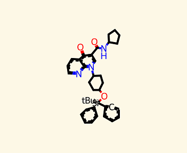 CC(C)(C)[Si](OC1CCC(n2cc(C(=O)NC3CCCC3)c(=O)c3cccnc32)CC1)(c1ccccc1)c1ccccc1